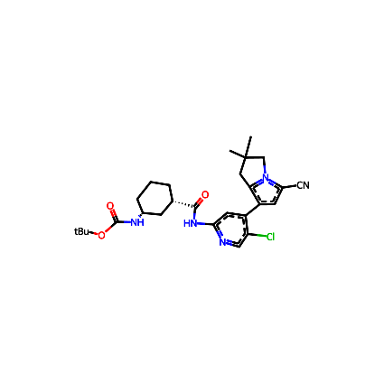 CC1(C)Cc2c(-c3cc(NC(=O)[C@H]4CCC[C@@H](NC(=O)OC(C)(C)C)C4)ncc3Cl)cc(C#N)n2C1